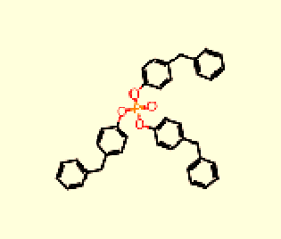 O=P(Oc1ccc(Cc2ccccc2)cc1)(Oc1ccc(Cc2ccccc2)cc1)Oc1ccc(Cc2ccccc2)cc1